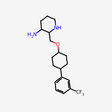 NC1CCCNC1COC1CCC(c2cccc(C(F)(F)F)c2)CC1